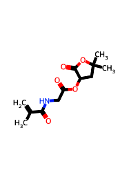 C=C(C)C(=O)NCC(=O)OC1CC(C)(C)OC1=O